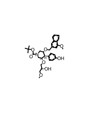 COC[C@@H](O)CO[C@@H]1CN(C(=O)OC(C)(C)C)CC(OCc2cc(OC)c3ccccc3c2)[C@H]1c1ccc(O)cc1